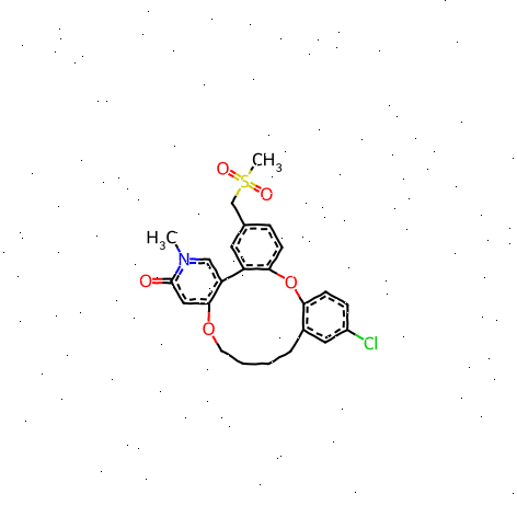 Cn1cc2c(cc1=O)OCCCCc1cc(Cl)ccc1Oc1ccc(CS(C)(=O)=O)cc1-2